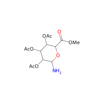 COC(=O)C1OC(N)C(OC(C)=O)C(OC(C)=O)C1OC(C)=O